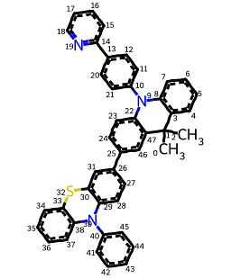 CC1(C)c2ccccc2N(c2ccc(-c3ccccn3)cc2)c2ccc(-c3ccc4c(c3)Sc3ccccc3N4c3ccccc3)cc21